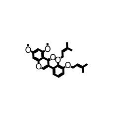 COc1cc(OC)c2c(=O)c(-c3cccc(OCC=C(C)C)c3OCC=C(C)C)coc2c1